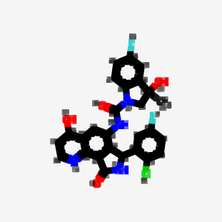 O=C1NC(c2cc(F)ccc2Cl)c2c(NC(=O)N3CC(O)(C(F)(F)F)c4cc(F)ccc43)cc3c(O)ccnc3c21